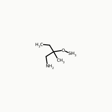 CCC(C)(CN)O[SiH3]